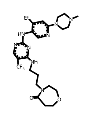 CCc1cc(N2CCN(C)CC2)ncc1Nc1ncc(C(F)(F)F)c(NCCCN2CCOCCC2=O)n1